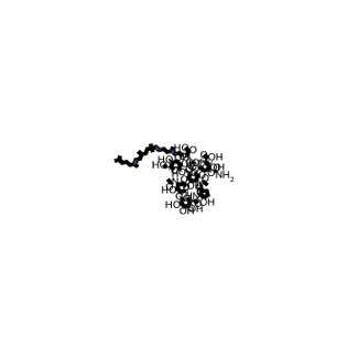 C=C(C/C=C(\C)CCC=C(C)C)CCC(C)(C)/C=C/CC/C(C)=C/CO[C@@H](COP(=O)(O)O[C@H]1O[C@H](C(=O)O)[C@@](C)(O)[C@H](OC(N)=O)C1O[C@@H]1O[C@H](CO[C@@H]2O[C@H](CO)[C@@H](O)[C@H](O)[C@H]2O)[C@@H](O[C@@H]2O[C@H](C)[C@@H](O[C@@H]3O[C@H](C(=O)NC4=C(O)CCC4=O)[C@H](O)[C@H](O)[C@H]3O)[C@H](O)[C@H]2NC(C)=O)[C@H](O)C1NC(C)=O)C(=O)O